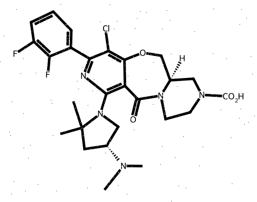 CN(C)[C@H]1CN(c2nc(-c3cccc(F)c3F)c(Cl)c3c2C(=O)N2CCN(C(=O)O)C[C@@H]2CO3)C(C)(C)C1